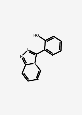 Oc1ccccc1-c1nnc2cc[c]cn12